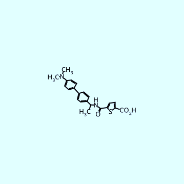 CC(NC(=O)c1ccc(C(=O)O)s1)c1ccc(-c2ccc(N(C)C)cc2)cc1